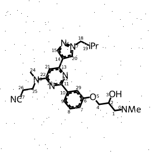 CNCC(O)COc1cccc(-c2nc(-c3cnn(CC(C)C)c3)cc(N(C)CCC#N)n2)c1